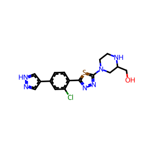 OCC1CN(c2nnc(-c3ccc(-c4cn[nH]c4)cc3Cl)s2)CCN1